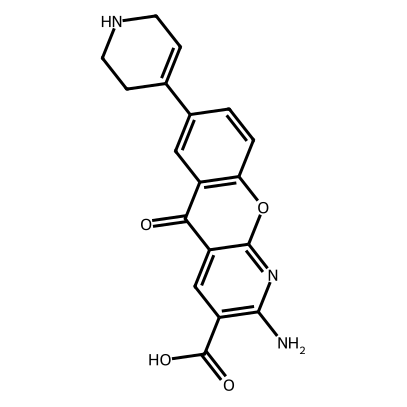 Nc1nc2oc3ccc(C4=CCNCC4)cc3c(=O)c2cc1C(=O)O